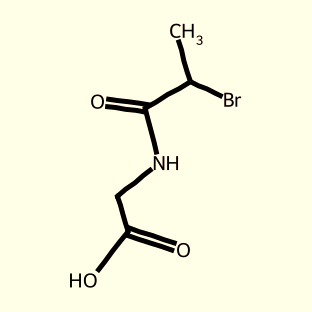 CC(Br)C(=O)NCC(=O)O